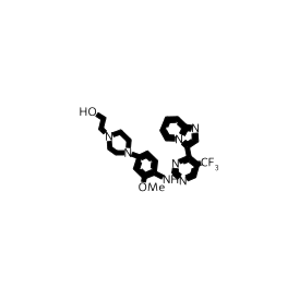 COc1cc(N2CCN(CCO)CC2)ccc1Nc1ncc(C(F)(F)F)c(-c2cnc3ccccn23)n1